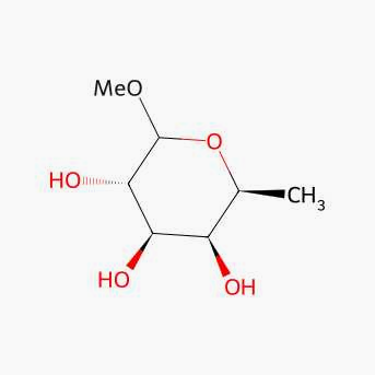 COC1O[C@@H](C)[C@@H](O)[C@@H](O)[C@@H]1O